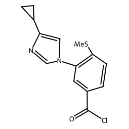 CSc1ccc(C(=O)Cl)cc1-n1cnc(C2CC2)c1